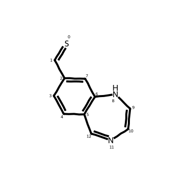 S=Cc1ccc2c(c1)NC=CN=C2